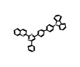 c1ccc(-c2cc(-c3ccc(-c4ccc(-n5c6ccccc6c6ccccc65)cc4)cc3)nc(-c3ccc4ccccc4n3)n2)cc1